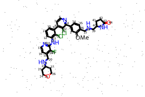 COc1cc(-c2nccc(-c3cccc(Nc4nccc(CNC5CCOCC5)c4F)c3Cl)c2Cl)ccc1CNCC1CCC(=O)N1